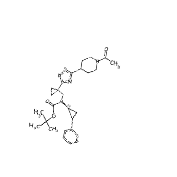 CC(=O)N1CCC(c2nc(C3(CN(C(=O)OC(C)(C)C)[C@H]4CC4c4ccccc4)CC3)no2)CC1